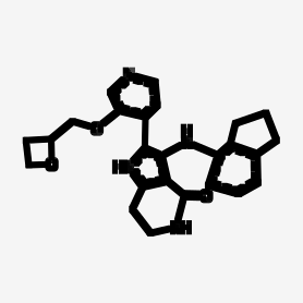 O=C1NCCc2[nH]c(-c3ccncc3OCC3CCO3)c(Nc3cccc4c3CCC4)c21